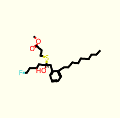 CCCCCCCCCc1ccccc1C[C@](O)(CCCCF)SCCC(=O)OC